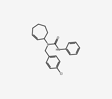 O=C(Nc1ccccc1)N(Cc1ccc(Cl)cc1)C1C=CCCCC1